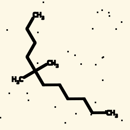 CCCCCCC(C)(C)CCCC